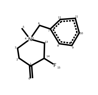 C=C1CC[N+](C)(Cc2ccccc2)CC1F